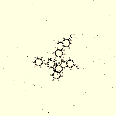 Cc1ccc2c(c1)c1ccccc1n2-c1cc(-c2ccc(C(F)(F)F)cc2C(F)(F)F)ccc1-c1nc(-c2ccccc2)nc(-c2ccccc2)n1